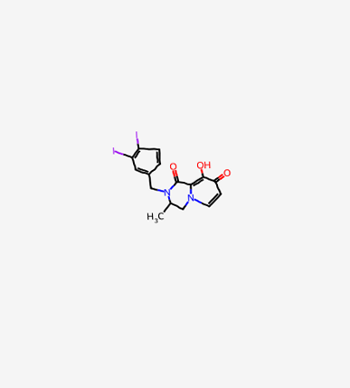 CC1Cn2ccc(=O)c(O)c2C(=O)N1Cc1ccc(I)c(I)c1